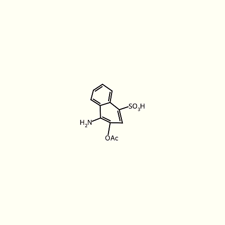 CC(=O)Oc1cc(S(=O)(=O)O)c2ccccc2c1N